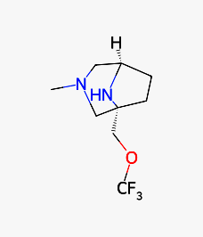 CN1C[C@H]2CC[C@@](COC(F)(F)F)(C1)N2